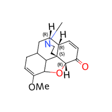 COC1=CCC2C[C@@H]3[C@@H]4C=CC(=O)[C@@H]5OC1C2[C@@]54CCN3C